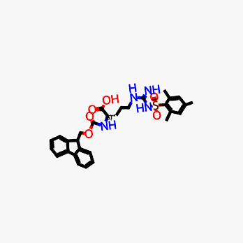 Cc1cc(C)c(S(=O)(=O)NC(=N)NCCC[C@H](NC(=O)OCC2c3ccccc3-c3ccccc32)C(=O)O)c(C)c1